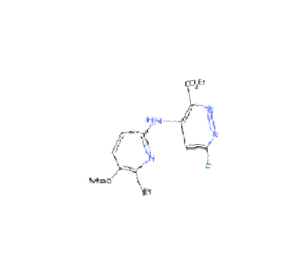 CCOC(=O)c1nnc(Cl)cc1Nc1ccc(OC)c(C(C)C)n1